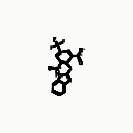 O=[N+]([O-])c1cc(C(F)(F)F)cc([N+](=O)[O-])c1Sc1nc2ccccc2[nH]1